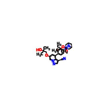 CC(C)(O)COc1cc(-c2ccc(N3CC4CC(C3)N4C(=O)OC(C)(C)C)cc2)c2c(C#N)cnn2c1